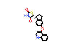 O=C1NC(=O)C([C@@H]2CCc3cc(Oc4ccnc5ccccc45)ccc32)S1